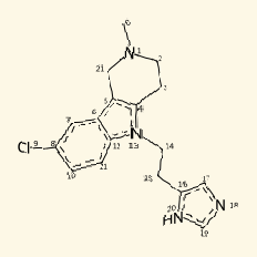 CN1CCc2c(c3cc(Cl)ccc3n2CCc2cnc[nH]2)C1